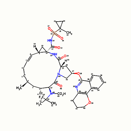 CC[C@@H]1C[C@@H](C)CC/C=C\[C@@H]2C[C@@]2(C(=O)NS(=O)(=O)C2(C)CC2)NC(=O)[C@@H]2C[C@@H](Oc3nc4c(c5ccccc35)OCCC4)CN2C(=O)[C@H]1N(C(=O)O)C(C)(C)C(F)(F)F